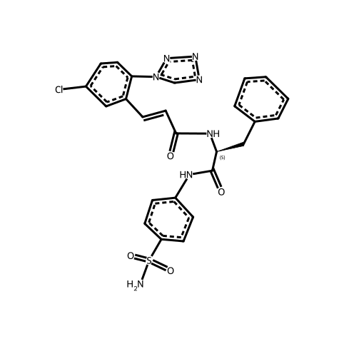 NS(=O)(=O)c1ccc(NC(=O)[C@H](Cc2ccccc2)NC(=O)C=Cc2cc(Cl)ccc2-n2cnnn2)cc1